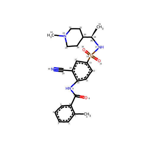 Cc1ccccc1C(=O)Nc1ccc(S(=O)(=O)N[C@H](C)C2CCN(C)CC2)cc1C#N